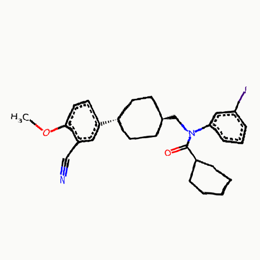 COc1ccc([C@H]2CC[C@H](CN(C(=O)C3CCCCC3)c3cccc(I)c3)CC2)cc1C#N